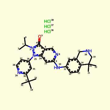 CC(C)n1c(=O)c2cnc(Nc3ccc4c(c3)CNCC4(C)C)cc2n1-c1ccnc(C(C)(C)C)c1.Cl.Cl.Cl